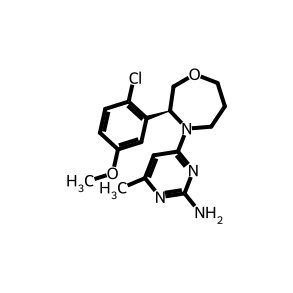 COc1ccc(Cl)c([C@H]2COCCCN2c2cc(C)nc(N)n2)c1